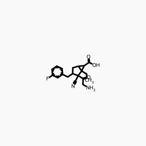 CCC12C(CC(Cc3cccc(F)c3)C1(C#N)C(=O)CN)C2C(=O)O